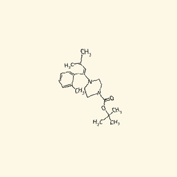 C=C(C)/C=C(\c1ccccc1C)N1CCN(C(=O)OC(C)(C)C)CC1